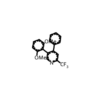 COc1cccc(OC)c1-c1cnc(C(F)(F)F)cc1-c1ccccc1